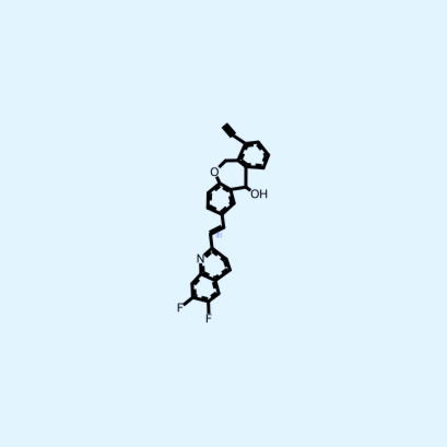 C#Cc1cccc2c1COc1ccc(/C=C/c3ccc4cc(F)c(F)cc4n3)cc1C2O